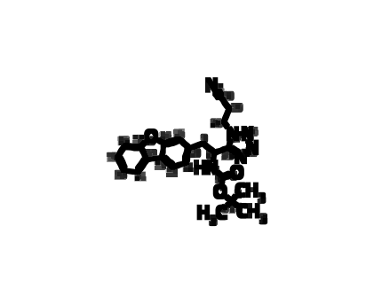 CC(C)(C)OC(=O)NC(Cc1ccc2c(c1)oc1ccccc12)c1nnnn1CCC#N